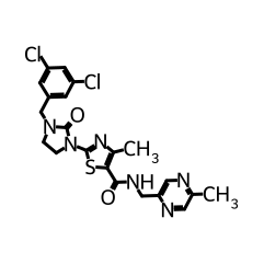 Cc1cnc(CNC(=O)c2sc(N3CCN(Cc4cc(Cl)cc(Cl)c4)C3=O)nc2C)cn1